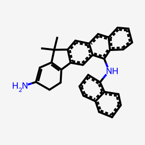 CC1(C)C2=C(CCC(N)=C2)c2cc3c(Nc4cccc5ccccc45)c4ccccc4cc3cc21